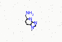 Cn1cnc2nc(CN)ccc21